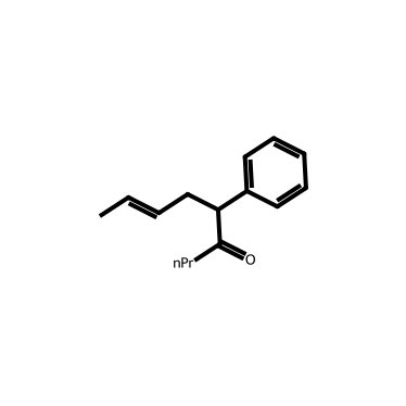 C/C=C/CC(C(=O)CCC)c1ccccc1